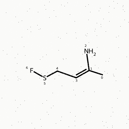 C/C(N)=C/CSF